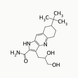 CC(C)(C)C1CCc2nc3c(CC(O)CO)c(C(N)=O)[nH]c3cc2C1